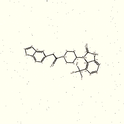 O=C(Cc1ccc2sccc2c1)N1CCC(n2c(=O)[nH]c3cccc(C(F)(F)F)c32)CC1